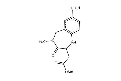 COC(=O)CC1Nc2ccc(C(=O)O)cc2CN(C)C1=O